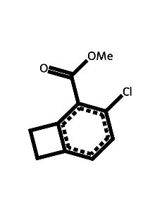 COC(=O)c1c(Cl)ccc2c1CC2